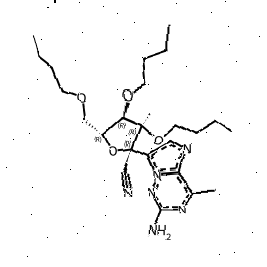 CCCCOC[C@H]1O[C@@](C#N)(c2cnc3c(C)nc(N)nn23)[C@](C)(OCCCC)[C@@H]1OCCCC